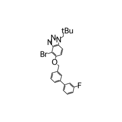 CC(C)(C)Cn1nnc2c(Br)c(OCc3cccc(-c4cccc(F)c4)c3)ccc21